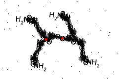 NC(=O)Cn1cc(COCCOCc2cn(CCN(CCn3cc(COCCOCc4cn(CC(N)=O)nn4)nn3)C(=O)c3cn(CCOCCOCCn4cc(C(=O)N(CCn5cc(COCCOCc6cn(CC(N)=O)nn6)nn5)CCn5cc(COCCOCc6cn(CC(N)=O)nn6)nn5)nn4)nn3)nn2)nn1